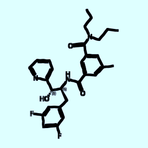 CCCN(CCC)C(=O)c1cc(C)cc(C(=O)N[C@@H](Cc2cc(F)cc(F)c2)[C@H](O)c2ccccn2)c1